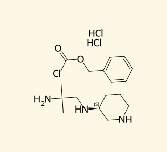 CC(C)(N)CN[C@H]1CCCNC1.Cl.Cl.O=C(Cl)OCc1ccccc1